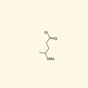 CCC(=O)CCC(C)SC